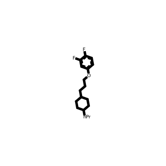 CCCC1CCC(CCCOc2ccc(F)c(F)c2)CC1